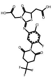 O=C(O)CC1S/C(=N\c2cc(N3C(=O)CC(C(F)(F)F)CC3=O)c(F)cc2Cl)N(CC(=O)O)C1=O